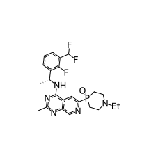 CCN1CCP(=O)(c2cc3c(N[C@H](C)c4cccc(C(F)F)c4F)nc(C)nc3cn2)CC1